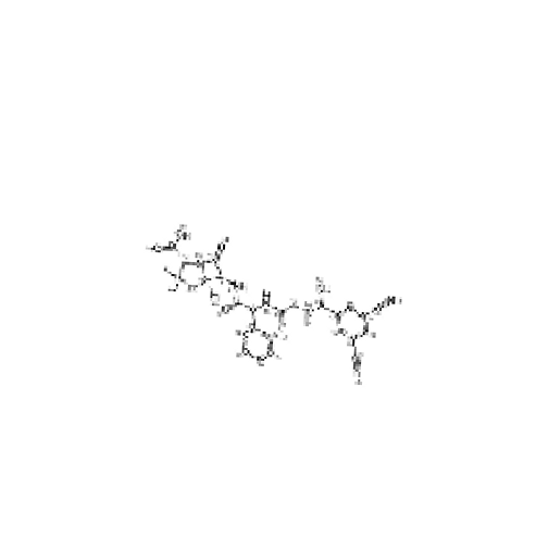 CC1(C)S[C@@H]2[C@H](NC(=O)C(NC(=O)CNC(=N)c3cc(C#N)cc(C#N)c3)c3ccccc3)C(=O)N2[C@H]1C(=O)O